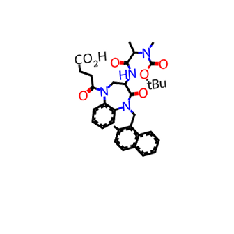 Cc1ccc2ccccc2c1CN1C(=O)C(NC(=O)C(C)N(C)C(=O)OC(C)(C)C)CN(C(=O)CCC(=O)O)c2ccccc21